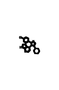 Clc1ccc(-c2ncn(C3CCCCC3)c2-c2ccnc3[nH]ccc23)cc1